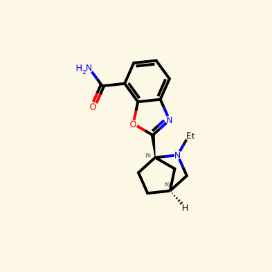 CCN1C[C@H]2CC[C@@]1(c1nc3cccc(C(N)=O)c3o1)C2